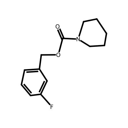 O=C(OCc1cccc(F)c1)N1CCCCC1